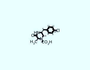 C[C@H]1C(=O)N[C@@H](Cc2ccc(Cl)cc2)CN1C(=O)O